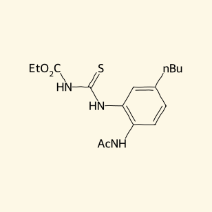 CCCCc1ccc(NC(C)=O)c(NC(=S)NC(=O)OCC)c1